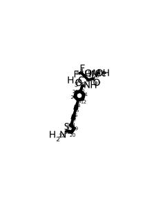 COC(C)(C(F)F)C(NC(=O)c1ccc(C#CC#Cc2ccc(N)s2)cc1)C(=O)NO